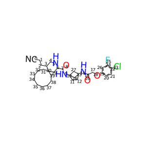 N#CCCC1CNC(C(=O)NC23CCC(NC(=O)COc4ccc(Cl)c(F)c4)(C2)C3)CC12CCCCCCCCC2